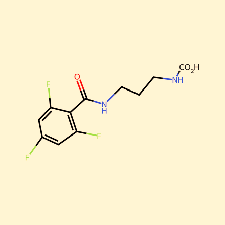 O=C(O)NCCCNC(=O)c1c(F)cc(F)cc1F